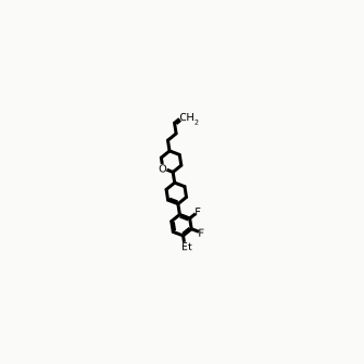 C=CCCC1CCC(C2CC=C(c3ccc(CC)c(F)c3F)CC2)OC1